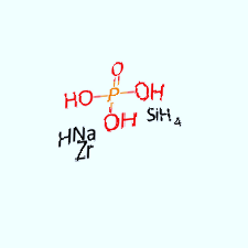 O=P(O)(O)O.[NaH].[SiH4].[Zr]